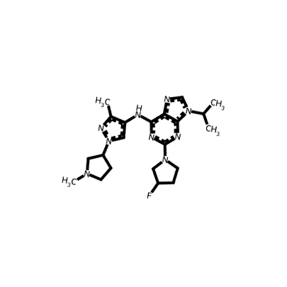 Cc1nn(C2CCN(C)C2)cc1Nc1nc(N2CCC(F)C2)nc2c1ncn2C(C)C